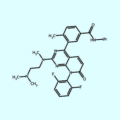 Cc1ccc(C(=O)NC(C)C)cc1-c1nc(N(C)CCN(C)C)nc2c1ccc(=O)n2-c1c(F)cccc1F